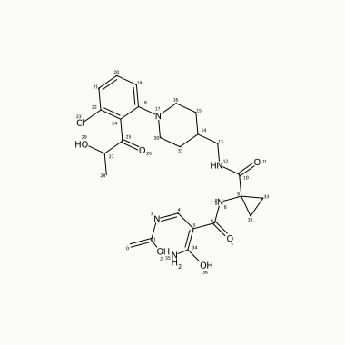 C=C(O)/N=C\C(C(=O)NC1(C(=O)NCC2CCN(c3cccc(Cl)c3C(=O)C(C)O)CC2)CC1)=C(/N)O